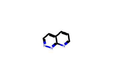 [c]1ccnc2nnccc12